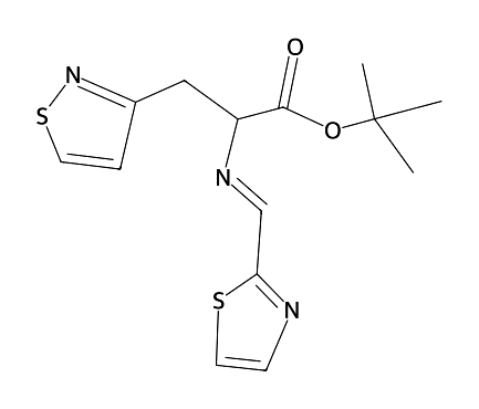 CC(C)(C)OC(=O)C(Cc1ccsn1)N=Cc1nccs1